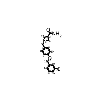 NC(=O)C1CN(Cc2ccc(OCc3cccc(Cl)c3)cc2)C1